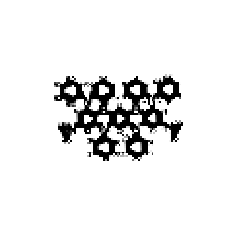 c1ccc(N2c3ccccc3B3c4cc5c(cc4N(c4ccccc4)c4cc(N6CC6)cc2c43)N(c2ccccc2)c2cc(N3CC3)cc3c2B5c2ccccc2N3c2ccccc2)cc1